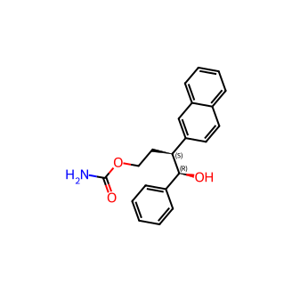 NC(=O)OCC[C@@H](c1ccc2ccccc2c1)[C@@H](O)c1ccccc1